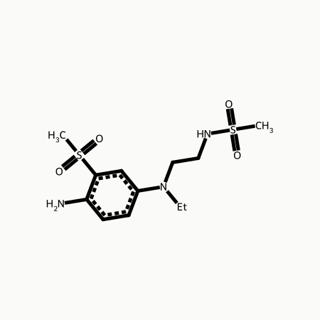 CCN(CCNS(C)(=O)=O)c1ccc(N)c(S(C)(=O)=O)c1